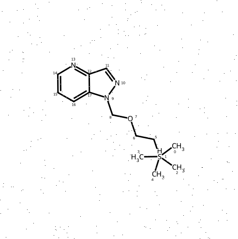 C[SH](C)(C)(C)CCOCn1ncc2ncccc21